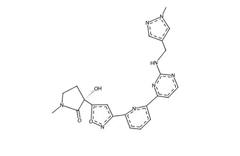 CN1CC[C@@](O)(c2cc(-c3cccc(-c4ccnc(NCc5cnn(C)c5)n4)n3)no2)C1=O